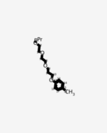 CCCOCCOCCOCCCOc1ccc(C)cc1